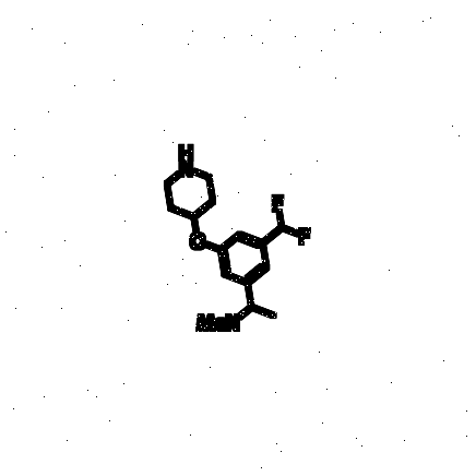 CNC(C)c1cc(OC2CCNCC2)cc(C(F)F)c1